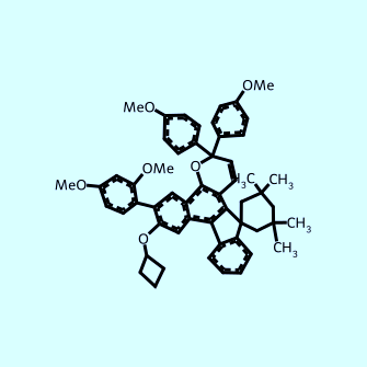 COc1ccc(C2(c3ccc(OC)cc3)C=Cc3c4c(c5cc(OC6CCC6)c(-c6ccc(OC)cc6OC)cc5c3O2)-c2ccccc2C42CC(C)(C)CC(C)(C)C2)cc1